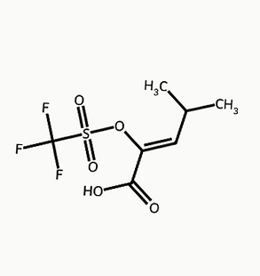 CC(C)/C=C(\OS(=O)(=O)C(F)(F)F)C(=O)O